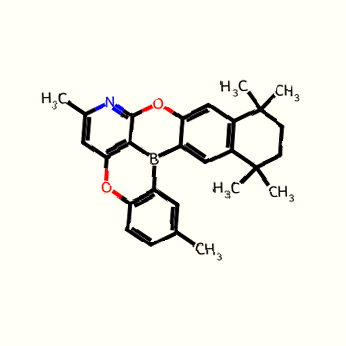 Cc1ccc2c(c1)B1c3cc4c(cc3Oc3nc(C)cc(c31)O2)C(C)(C)CCC4(C)C